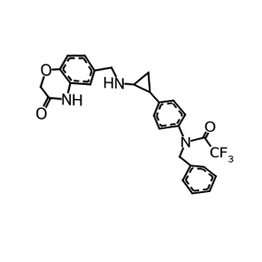 O=C1COc2ccc(CNC3CC3c3ccc(N(Cc4ccccc4)C(=O)C(F)(F)F)cc3)cc2N1